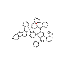 CC1CC=CC=C1c1cc(N(c2ccccc2-c2ccccc2)c2cccc3c2-c2ccccc2C32c3ccccc3-c3c2ccc2c3oc3ccccc32)ccc1Nc1ccccc1